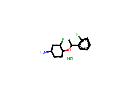 CC(OC1CCC(N)CC1F)c1ccccc1F.Cl